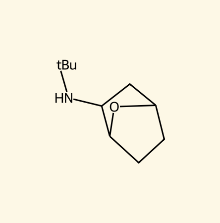 CC(C)(C)NC1CC2CCC1O2